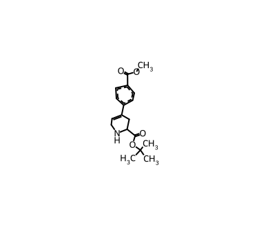 COC(=O)c1ccc(C2=CCNC(C(=O)OC(C)(C)C)C2)cc1